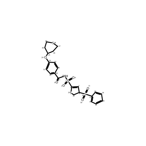 O=C(NS(=O)(=O)C1=CC(S(=O)(=O)c2ccccc2)CS1)c1ccc(OC2CCSCC2)cc1